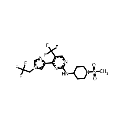 CS(=O)(=O)N1CCC(Nc2ncc(C(F)(F)F)c(-c3cn(CC(F)(F)F)cn3)n2)CC1